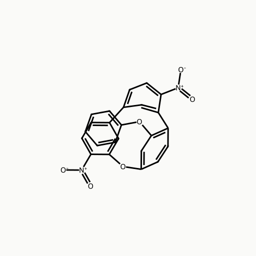 O=[N+]([O-])c1ccc2cc1Oc1ccc(c(Oc3ccccc3)c1)-c1cc-2ccc1[N+](=O)[O-]